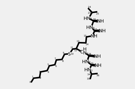 CCCCCCCCCCSCC(CCCNC(=N)NC(=N)NC(C)C)CNC(=N)NC(=N)NC(C)C